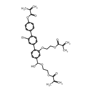 C=C(C)C(=O)OCCOc1cc(C(O)OCCOC(=O)C(=C)C)ccc1-c1ccc(-c2ccc(OC(=O)C(=C)C)cc2)c(CC)c1